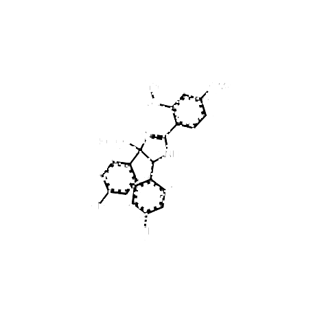 CCOC(=O)C1(c2ccc(Cl)cc2)N=C(c2ccc(OC)cc2OC(C)C)NC1c1ccc(Cl)cc1